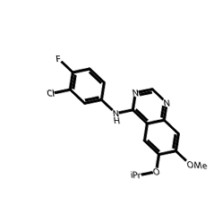 COc1cc2ncnc(Nc3ccc(F)c(Cl)c3)c2cc1OC(C)C